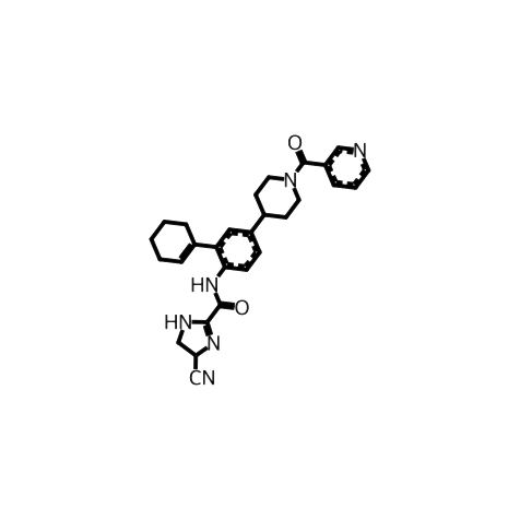 N#CC1CNC(C(=O)Nc2ccc(C3CCN(C(=O)c4cccnc4)CC3)cc2C2=CCCCC2)=N1